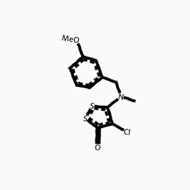 COc1[c]ccc(CN(C)c2ssc(=O)c2Cl)c1